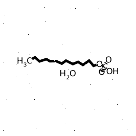 CCCCCCCCCCCCCOS(=O)(=O)O.O